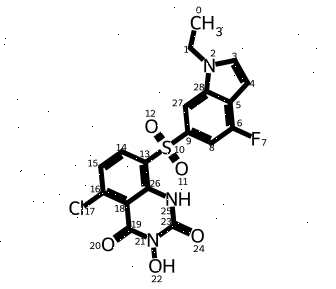 CCn1ccc2c(F)cc(S(=O)(=O)c3ccc(Cl)c4c(=O)n(O)c(=O)[nH]c34)cc21